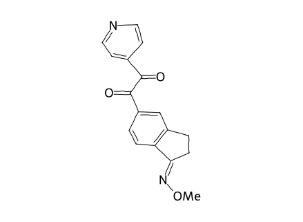 CON=C1CCc2cc(C(=O)C(=O)c3ccncc3)ccc21